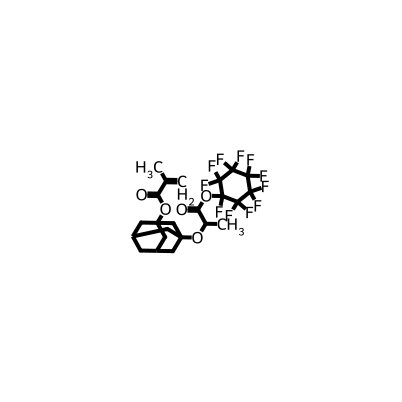 C=C(C)C(=O)OC12CC3CC(C1)CC(OC(C)C(=O)OC1(F)C(F)(F)C(F)(F)C(F)(F)C(F)(F)C1(F)F)(C3)C2